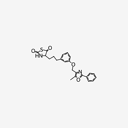 Cc1oc(-c2ccccc2)nc1COc1cccc(CCCC2NC(=O)SC2=O)c1